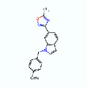 COc1ccc(Cn2ccc3ccc(-c4noc(C(F)(F)F)n4)cc32)cc1